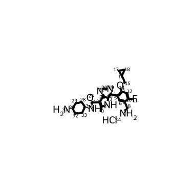 Cc1[nH]c2c(-c3cc(CN)c(F)cc3OCC3CC3)ncnc2c1C(=O)N[C@H]1CC[C@@H](N)CC1.Cl